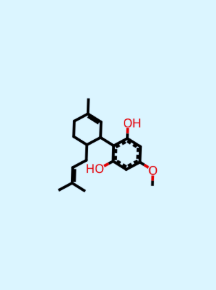 COc1cc(O)c(C2C=C(C)CCC2CC=C(C)C)c(O)c1